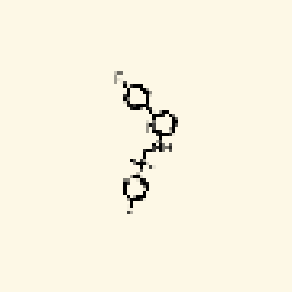 CC(C)(CNc1cccc(-c2ccc(F)cc2)n1)c1ccc(F)cc1